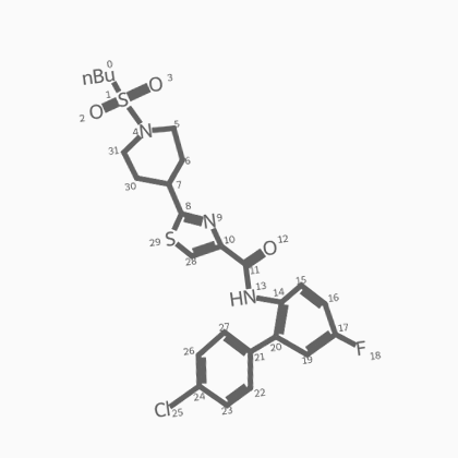 CCCCS(=O)(=O)N1CCC(c2nc(C(=O)Nc3ccc(F)cc3-c3ccc(Cl)cc3)cs2)CC1